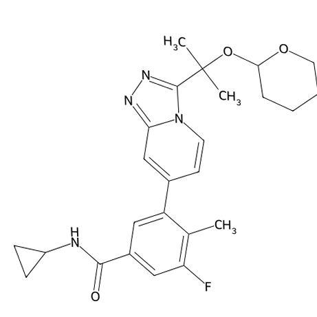 Cc1c(F)cc(C(=O)NC2CC2)cc1-c1ccn2c(C(C)(C)OC3CCCCO3)nnc2c1